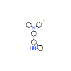 Fc1ccc(N(c2ccccc2)c2ccc(-c3ccc4[nH]c5ccccc5c4c3)cc2)cc1